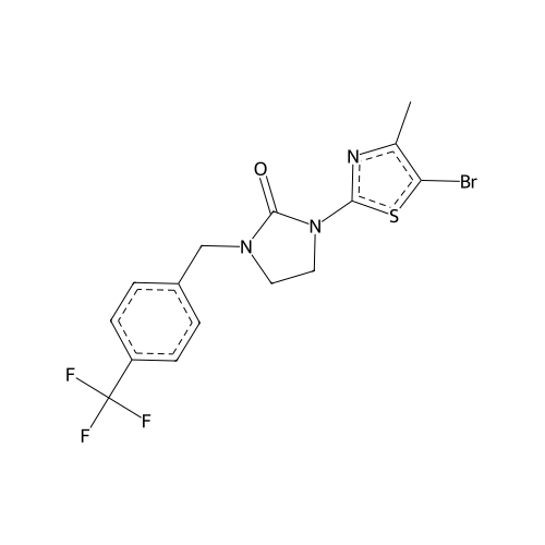 Cc1nc(N2CCN(Cc3ccc(C(F)(F)F)cc3)C2=O)sc1Br